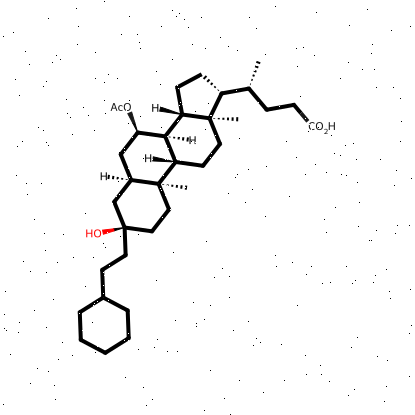 CC(=O)O[C@@H]1C[C@@H]2C[C@@](O)(CCC3CCCCC3)CC[C@]2(C)[C@H]2CC[C@]3(C)[C@@H]([C@H](C)CCC(=O)O)CC[C@H]3[C@H]12